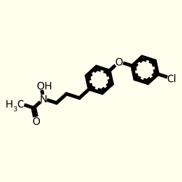 CC(=O)N(O)CCCc1ccc(Oc2ccc(Cl)cc2)cc1